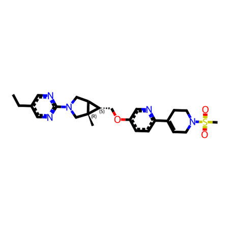 CCc1cnc(N2CC3[C@H](COc4ccc(C5=CCN(S(C)(=O)=O)CC5)nc4)[C@]3(C)C2)nc1